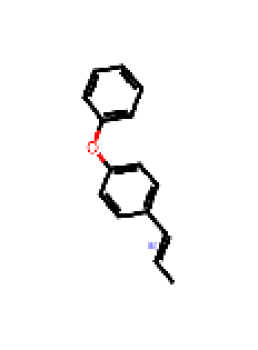 C/C=C/c1ccc(Oc2ccccc2)cc1